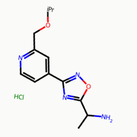 CC(C)OCc1cc(-c2noc(C(C)N)n2)ccn1.Cl